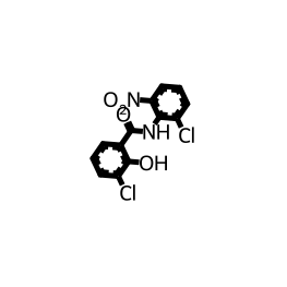 O=C(Nc1c(Cl)cccc1[N+](=O)[O-])c1cccc(Cl)c1O